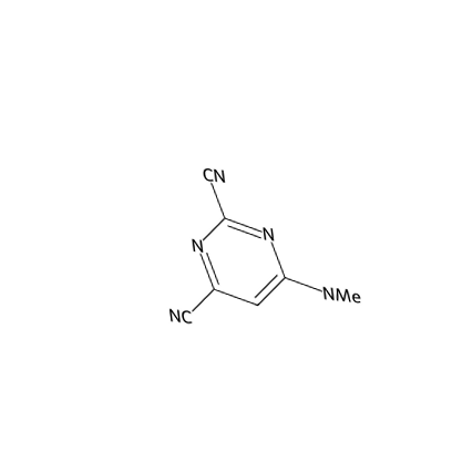 CNc1cc(C#N)nc(C#N)n1